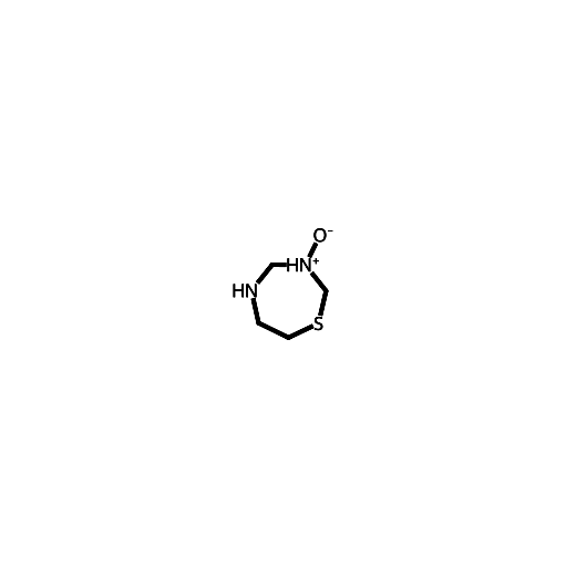 [O-][NH+]1CNCCSC1